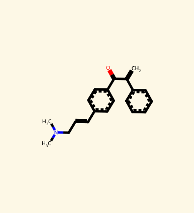 C=C(C(=O)c1ccc(C=CCN(C)C)cc1)c1ccccc1